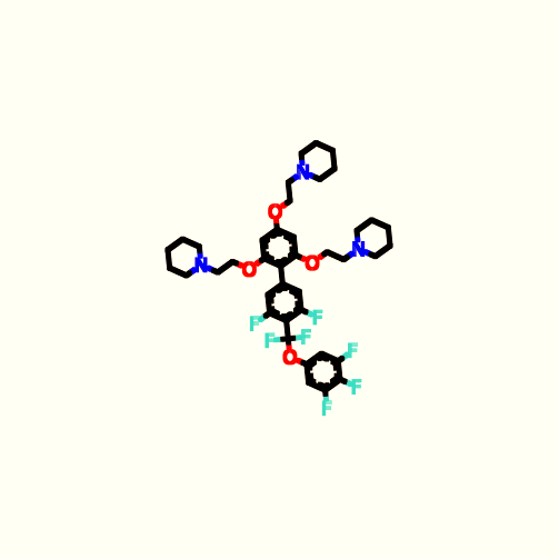 Fc1cc(OC(F)(F)c2c(F)cc(-c3c(OCCN4CCCCC4)cc(OCCN4CCCCC4)cc3OCCN3CCCCC3)cc2F)cc(F)c1F